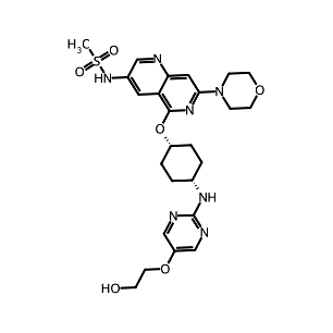 CS(=O)(=O)Nc1cnc2cc(N3CCOCC3)nc(O[C@H]3CC[C@@H](Nc4ncc(OCCO)cn4)CC3)c2c1